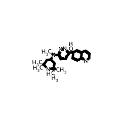 CN(c1ccc(C2(O)C=CC3=NCC=CC3=C2)nn1)C1CC(C)(C)NC(C)(C)C1